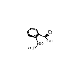 BNc1ccccc1C(=O)O